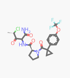 C[C@H](Cl)C(=O)C(NC(=O)[C@@H]1CCCN1C(=O)C1(c2ccc(OC(F)(F)F)cc2)CC1)C(N)=O